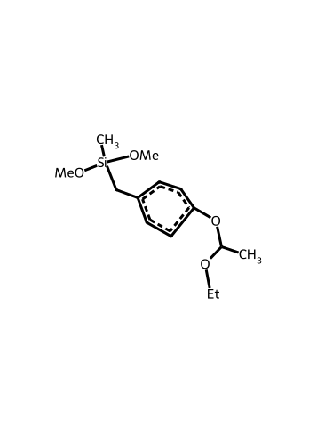 CCOC(C)Oc1ccc(C[Si](C)(OC)OC)cc1